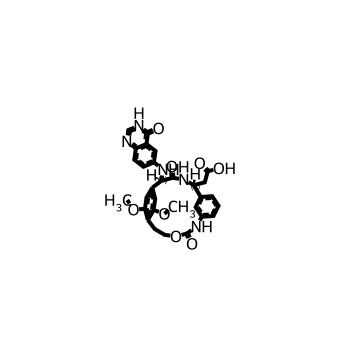 COc1cc2cc(OC)c1CCOC(=O)Nc1cccc(c1)[C@@H](CC(=O)O)NC(=O)[C@@H]2Nc1ccc2nc[nH]c(=O)c2c1